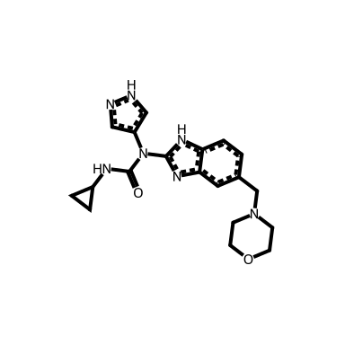 O=C(NC1CC1)N(c1cn[nH]c1)c1nc2cc(CN3CCOCC3)ccc2[nH]1